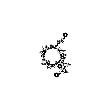 CC[C@H](C)[C@@H]1NC(=O)[C@@H](CCCCNC(=O)OCc2ccccc2)NC(=O)[C@H](CC(C)C)NC(=O)[C@H]([C@H](O)C(C)C)NC(=O)[C@@H](NC(=O)[C@H](CC(C)(C)C)NC(=O)[C@@H](CC(C)(C)C)NC(=O)OCc2ccccc2)[C@@H](c2ccccc2)NC(=O)C(CO)NC(=O)[C@H](CO)NC(=O)CNC(=O)[C@H]([C@H](C)O)NC1=O